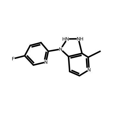 Cc1nccc2c1NNN2c1ccc(F)cn1